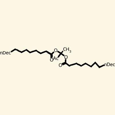 CCCCCCCCCCCCCCCCCC(=O)OC(C)(OC(=O)CCCCCCCCCCCCCCCCC)C(C)=O